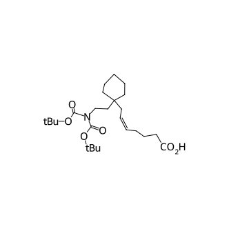 CC(C)(C)OC(=O)N(CCC1(C/C=C\CCCC(=O)O)CCCCC1)C(=O)OC(C)(C)C